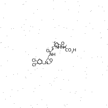 C[C@H](NC(=O)c1csc(SCC(=O)NCC2CN(Cc3ccc(Cl)c(Cl)c3)CCO2)n1)C(=O)O